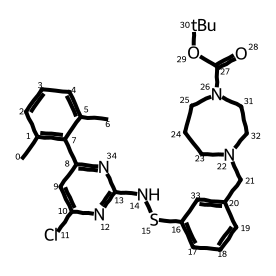 Cc1cccc(C)c1-c1cc(Cl)nc(NSc2cccc(CN3CCCN(C(=O)OC(C)(C)C)CC3)c2)n1